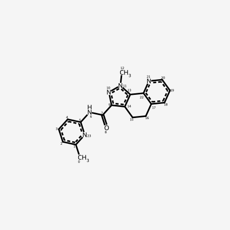 Cc1cccc(NC(=O)c2nn(C)c3c2CCc2cccnc2-3)n1